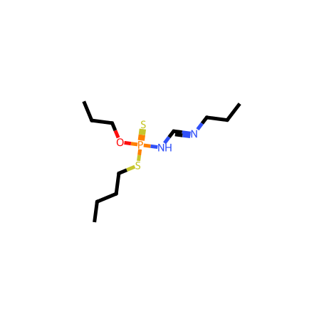 CCCCSP(=S)(NC=NCCC)OCCC